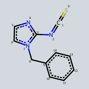 S=C=Nc1nccn1Cc1ccccc1